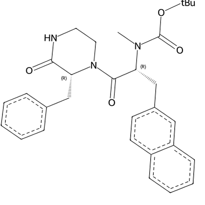 CN(C(=O)OC(C)(C)C)[C@H](Cc1ccc2ccccc2c1)C(=O)N1CCNC(=O)[C@H]1Cc1ccccc1